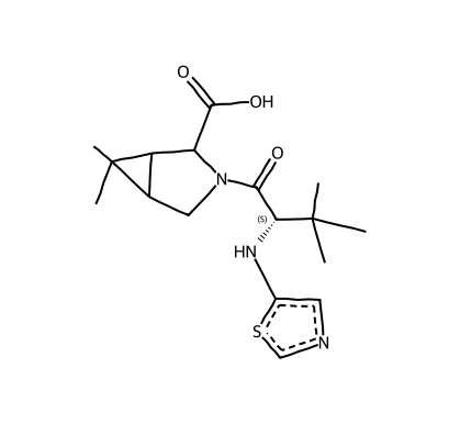 CC1(C)C2CN(C(=O)[C@@H](Nc3cncs3)C(C)(C)C)C(C(=O)O)C21